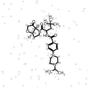 CC(C)N1CCN(c2ccc(C(=O)NC(CC(C)(C)C)C(=O)N3CC[C@H]4OCC(=O)[C@H]43)cc2)CC1